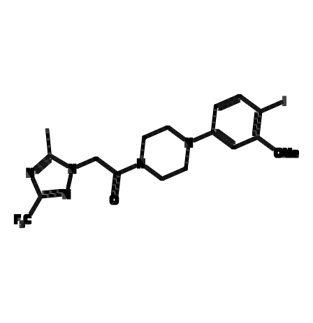 COc1cc(N2CCN(C(=O)Cn3nc(C(F)(F)F)nc3C)CC2)ccc1I